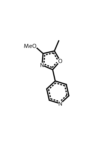 COc1nc(-c2ccncc2)oc1C